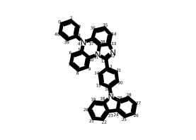 c1ccc(N2c3ccccc3-n3c(-c4ccc(-n5c6ccccc6c6ccccc65)cc4)nc4cccc2c43)cc1